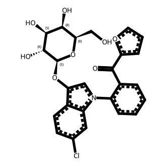 O=C(c1ccco1)c1ccccc1-n1cc(O[C@@H]2O[C@H](CO)[C@H](O)[C@H](O)[C@H]2O)c2ccc(Cl)cc21